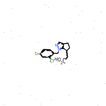 O=C(O)C=C1CCc2cnn(Cc3ccc(Cl)cc3Cl)c21